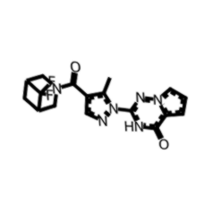 Cc1c(C(=O)N2CC3CC(C2)C3(F)F)cnn1-c1nn2cccc2c(=O)[nH]1